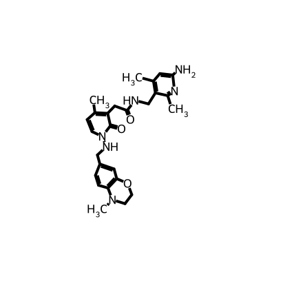 Cc1cc(N)nc(C)c1CNC(=O)Cc1c(C)ccn(NCc2ccc3c(c2)OCCN3C)c1=O